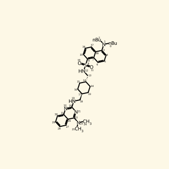 CCCCN(CCCC)c1cccc2c(S(=O)(=O)NC[C@H]3CC[C@H](CNc4nc(N(C)C)c5ccccc5n4)CC3)cccc12